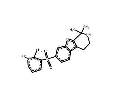 Cc1c(S(=O)(=O)c2ccc3c4c(oc3c2)C(C)(C)NCC4)ccc[n+]1[O-]